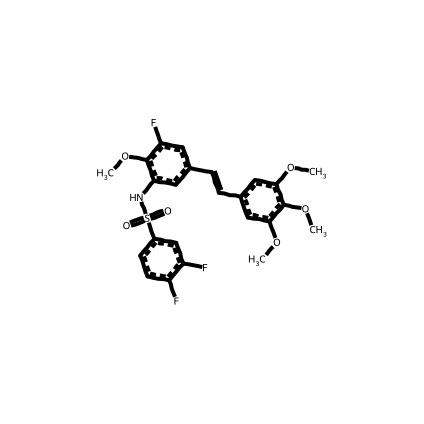 COc1cc(C=Cc2cc(F)c(OC)c(NS(=O)(=O)c3ccc(F)c(F)c3)c2)cc(OC)c1OC